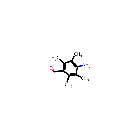 Cc1c(C)c(C=O)c(C)c(C)c1N